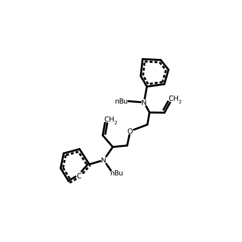 C=CC(COCC(C=C)N(CCCC)c1ccccc1)N(CCCC)c1ccccc1